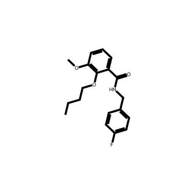 CCCCOc1c(OC)cccc1C(=O)NCc1ccc(F)cc1